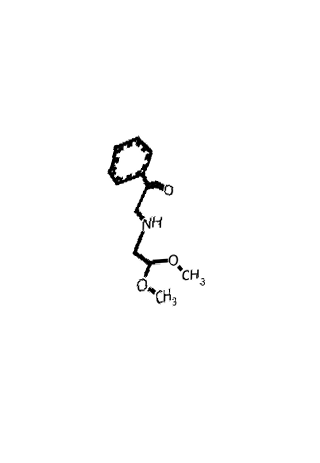 COC(CNCC(=O)c1ccccc1)OC